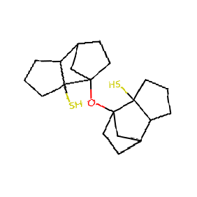 SC12CCCC1C1CCC2(OC23CCC(C2)C2CCCC23S)C1